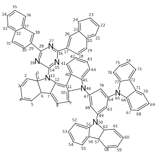 CC12C=CC=CC1c1ccc3c(c1N2c1nc(-c2ccc4ccccc4c2)nc(-c2ccc4ccccc4c2)n1)c1ccccc1n3-c1cc(N2c3ccccc3C3C=CC=CC32)cc(-n2c3ccccc3c3ccccc32)c1